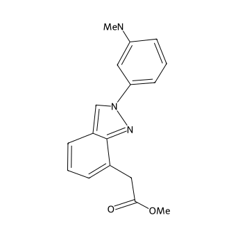 CNc1cccc(-n2cc3cccc(CC(=O)OC)c3n2)c1